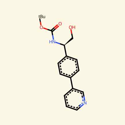 CC(C)(C)OC(=O)N[C@@H](CO)c1ccc(-c2cccnc2)cc1